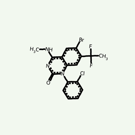 CNc1nc(=O)n(-c2ccccc2Cl)c2cc(C(C)(F)F)c(Br)cc12